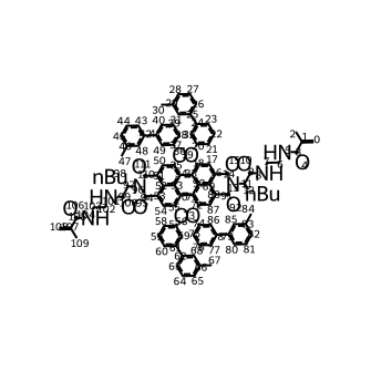 C=C(C)C(=O)NCCNC(=O)C(CCCC)N1C(=O)c2cc(Oc3cccc(-c4cccc(C)c4)c3)c3c4c(Oc5cccc(-c6cccc(C)c6)c5)cc5c6c(cc(Oc7cccc(-c8cccc(C)c8)c7)c(c7c(Oc8cccc(-c9cccc(C)c9)c8)cc(c2c37)C1=O)c64)C(=O)N(C(CCCC)C(=O)NCCNC(=O)C(=C)C)C5=O